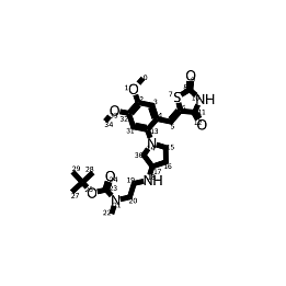 COc1cc(/C=C2\SC(=O)NC2=O)c(N2CCC(NCCN(C)C(=O)OC(C)(C)C)C2)cc1OC